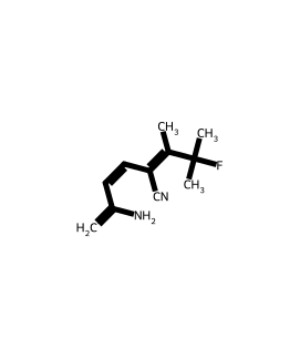 C=C(N)/C=C\C(C#N)=C(/C)C(C)(C)F